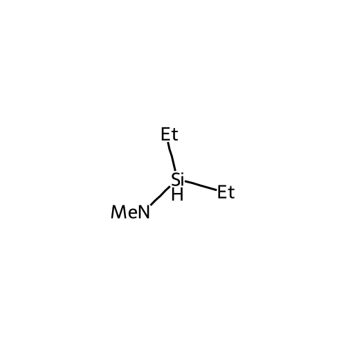 CC[SiH](CC)NC